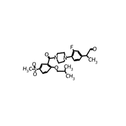 CC(C)COc1ccc(S(C)(=O)=O)cc1C(=O)N1CCN(c2ccc(C(C)C=O)cc2F)CC1